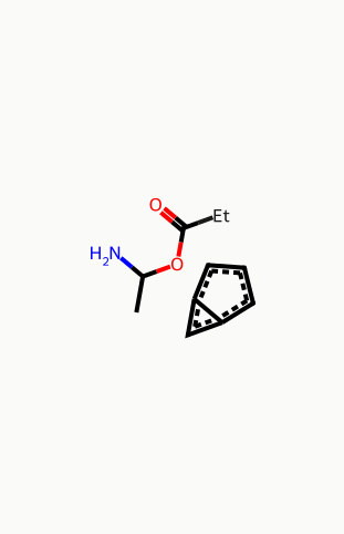 CCC(=O)OC(C)N.c1cc2cc-2c1